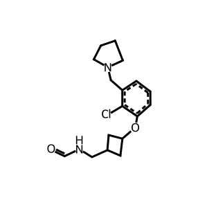 O=CNCC1CC(Oc2cccc(CN3CCCC3)c2Cl)C1